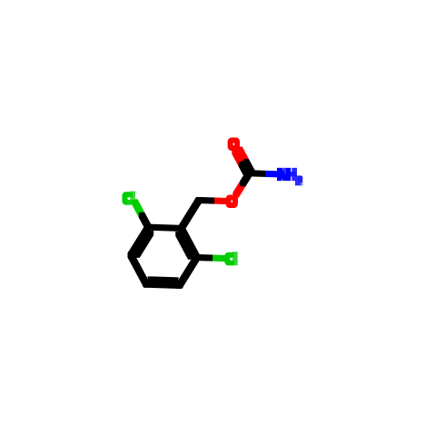 NC(=O)OCc1c(Cl)cccc1Cl